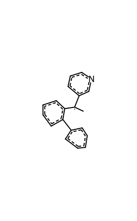 C[C](c1cccnc1)c1ccccc1-c1ccccc1